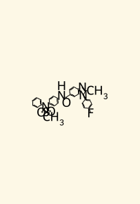 Cc1nc2ccc(C(=O)Nc3ccc(N(c4ccccc4)S(C)(=O)=O)cc3)cc2n1-c1ccc(F)cc1